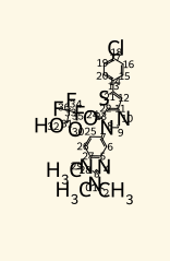 CN(C)c1nc2cc(-n3cnc4cc(-c5ccc(Cl)cc5)sc4c3=O)ccc2n1C.O=C(O)C(F)(F)F